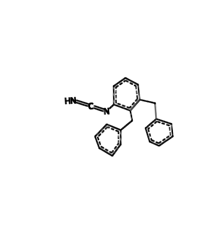 N=C=Nc1cccc(Cc2ccccc2)c1Cc1ccccc1